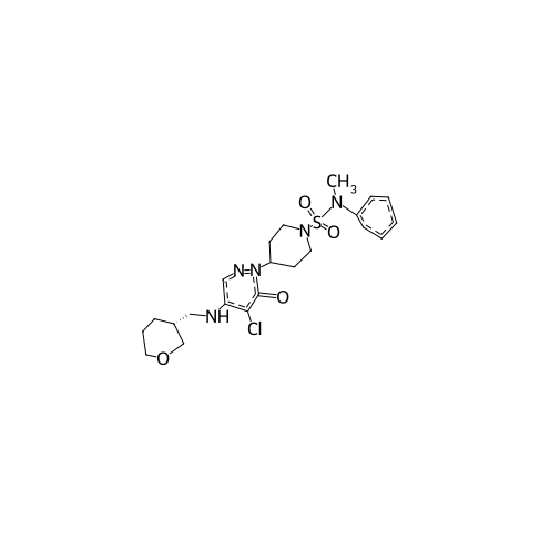 CN(c1ccccc1)S(=O)(=O)N1CCC(n2ncc(NC[C@H]3CCCOC3)c(Cl)c2=O)CC1